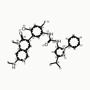 CNc1cc2c(cn1)cc(-c1cc(NC(=O)Nc3cc(C(C)C)nn3-c3ccccc3)c(F)cc1Cl)c(=O)n2C